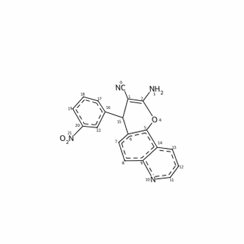 N#CC1=C(N)Oc2c(ccc3ncccc23)C1c1cccc([N+](=O)[O-])c1